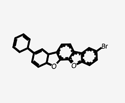 Brc1ccc2oc3c4c(ccc3c2c1)C1C=C(C2C=CC=CC2)C=CC1O4